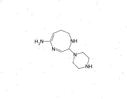 NC1=C/CCNC(N2CCNCC2)/C=N\1